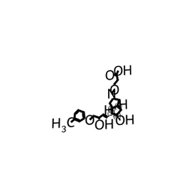 Cc1cccc(OCC(O)C=C[C@@H]2[C@@H]3CC(=NOCCC(=O)O)C[C@H]3C[C@H]2O)c1